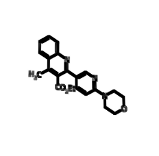 CCOC(=O)c1c(-c2ccc(N3CCOCC3)nc2)nc2ccccc2c1C